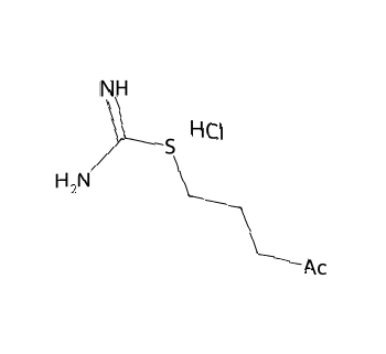 CC(=O)CCCSC(=N)N.Cl